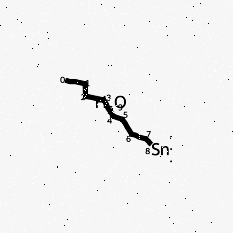 CCCCCCC[CH2][Sn].O